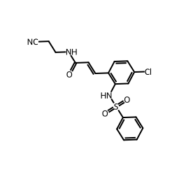 N#CCCNC(=O)C=Cc1ccc(Cl)cc1NS(=O)(=O)c1ccccc1